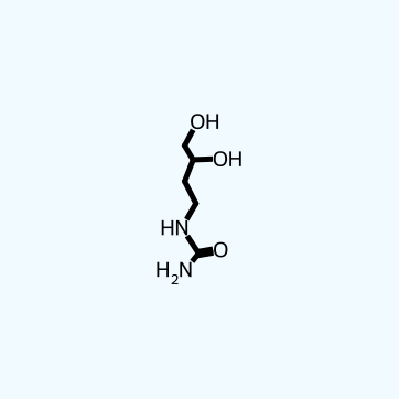 NC(=O)NCCC(O)CO